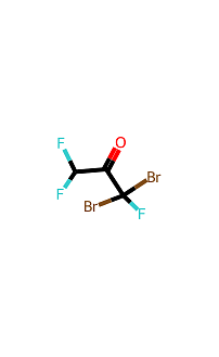 O=C(C(F)F)C(F)(Br)Br